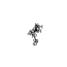 CC(C)Oc1ccc(-c2ccc(C(=O)NS(=O)(=O)c3ccn[nH]3)c(N3C[C@H](C)C[C@@H](C)C3)n2)cn1